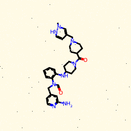 CN1C=C(CN2CCC(C(=O)N3CCC(Nc4ccccc4N(C=O)Cc4ccnc(N)c4)CC3)CC2)C=CN1